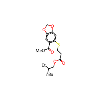 CCCCC(CC)COC(=O)CCSc1cc2c(cc1C(=O)OC)OCO2